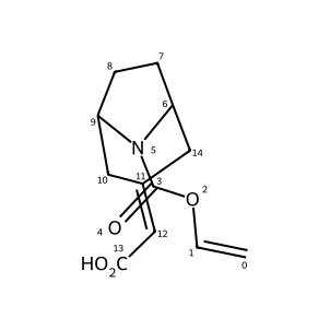 C=COC(=O)N1C2CCC1CC(=CC(=O)O)C2